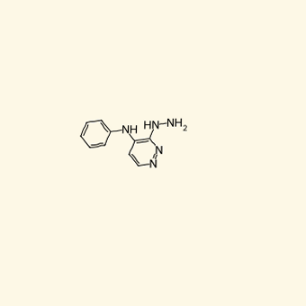 NNc1nnccc1Nc1ccccc1